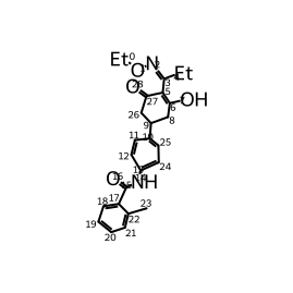 CCO/N=C(/CC)C1=C(O)CC(c2ccc(NC(=O)c3ccccc3C)cc2)CC1=O